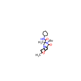 CCC(C)N1C(=O)c2cc3oc(C)cc3n2CC1(C)C(=O)NC1CCCCC1